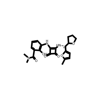 Cc1ccc([C@H](Nc2c(Nc3cccc(C(=O)N(C)C)c3O)c(=O)c2=O)C2CCCO2)o1